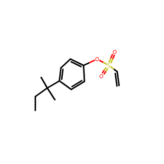 C=CS(=O)(=O)Oc1ccc(C(C)(C)CC)cc1